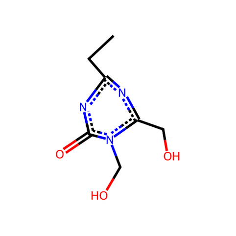 CCc1nc(CO)n(CO)c(=O)n1